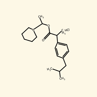 CC(C)Cc1ccc(C(C)C(=O)OC(C)N2CCCCC2)cc1.Cl